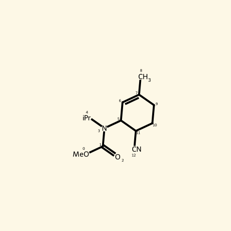 COC(=O)N(C(C)C)C1C=C(C)CCC1C#N